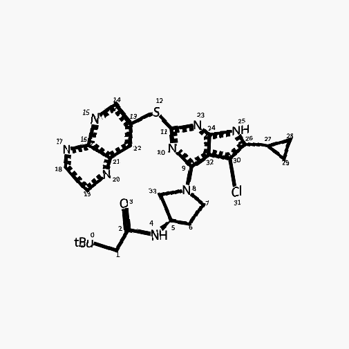 CC(C)(C)CC(=O)N[C@@H]1CCN(c2nc(Sc3cnc4nccnc4c3)nc3[nH]c(C4CC4)c(Cl)c23)C1